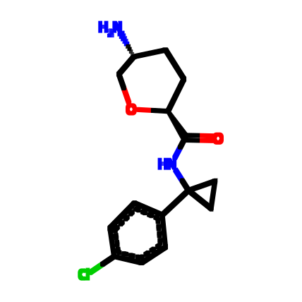 N[C@@H]1CC[C@@H](C(=O)NC2(c3ccc(Cl)cc3)CC2)OC1